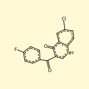 O=C(c1ccc(F)cc1)c1c[nH]c2ccc(Cl)cc2c1=O